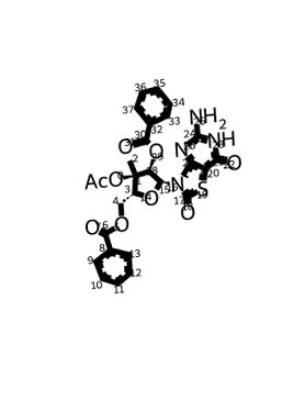 CC(=O)O[C@]1(C)[C@@H](COC(=O)c2ccccc2)O[C@@H](n2c(=O)sc3c(=O)[nH]c(N)nc32)[C@@H]1OC(=O)c1ccccc1